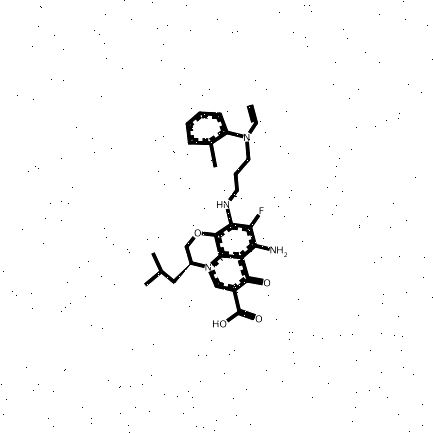 C=CN(CCCNc1c(F)c(N)c2c(=O)c(C(=O)O)cn3c2c1OC[C@@H]3CC(C)C)c1ccccc1C